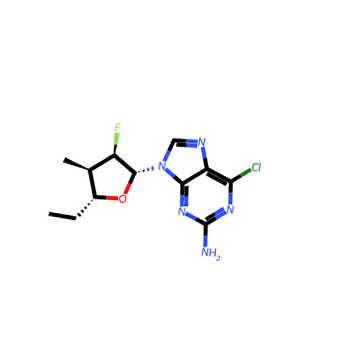 CC[C@H]1O[C@@H](n2cnc3c(Cl)nc(N)nc32)[C@H](F)[C@@H]1C